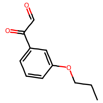 CCCOc1cccc(C(=O)C=O)c1